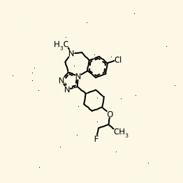 CC(CF)OC1CCC(c2nnc3n2-c2ccc(Cl)cc2CN(C)C3)CC1